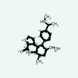 CNC(C)c1ccc(-c2c(O)cc(C)c3[nH]c(=O)c4sccc4c23)cc1.Cl